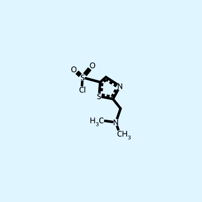 CN(C)Cc1ncc(S(=O)(=O)Cl)s1